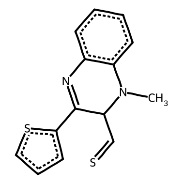 CN1c2ccccc2N=C(c2cccs2)C1C=S